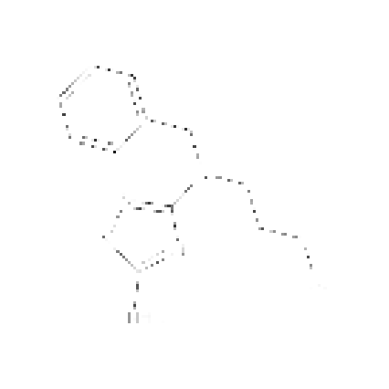 CC(=O)Nc1nc(N(CCSC(C)=O)Cc2ccccc2)n[nH]1